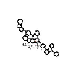 CC1(C)c2ccc(-c3ccccc3N(c3ccc(-c4ccc5sc6ccccc6c5c4)cc3)c3cccc4c3-c3ccccc3C4(C)C)cc2-c2ccc(-c3cccc4c3c3ccccc3n4-c3ccccc3)cc21